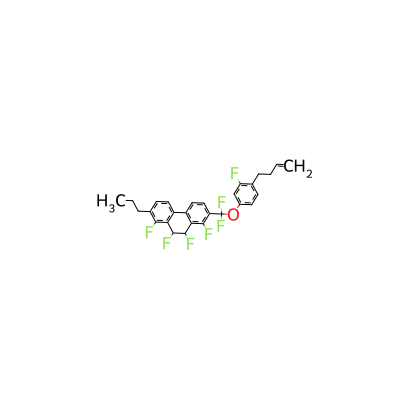 C=CCCc1ccc(OC(F)(F)c2ccc3c(c2F)C(F)C(F)c2c-3ccc(CCC)c2F)cc1F